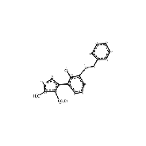 CCOC(=O)c1c(-c2cccc(OCc3ccccc3)c2Cl)noc1C